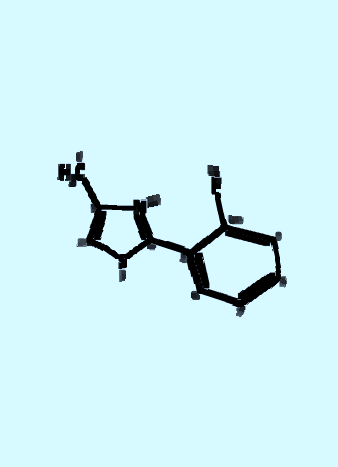 Cc1[c]sc(-c2ccccc2F)n1